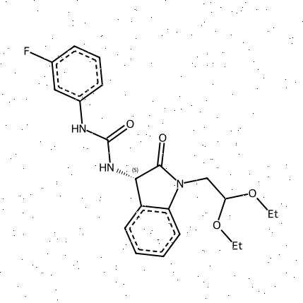 CCOC(CN1C(=O)[C@@H](NC(=O)Nc2cccc(F)c2)c2ccccc21)OCC